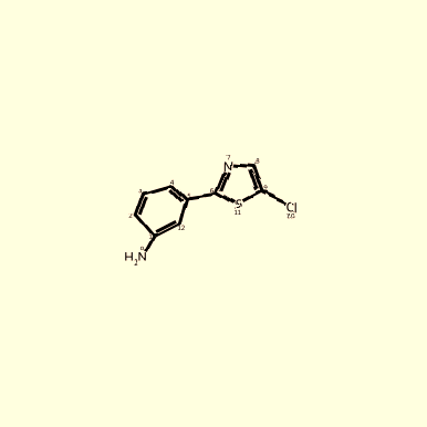 Nc1cccc(-c2ncc(Cl)s2)c1